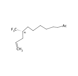 [CH2]C(=O)CCCCCC[C@H](CC=C)C(F)(F)F